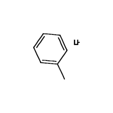 Cc1ccccc1.[Li]